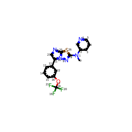 CN(c1cccnc1)c1nn2c(-c3cccc(OC(F)(F)F)c3)cnc2s1